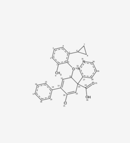 Cc1cccc(C2CC2)c1OC1C=C(c2ccccc2)C(Cl)=CC1(C(=O)O)c1cccnn1